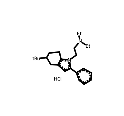 CCN(CC)CCn1c(-c2ccccc2)cc2c1CCC(C(C)(C)C)C2.Cl